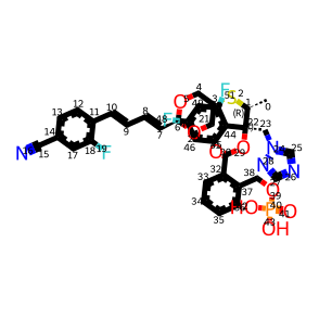 C[C@@H](S[C@H]1CO[C@H](C=CC=Cc2ccc(C#N)cc2F)OC1)[C@@](Cn1cncn1)(OC(=O)c1ccccc1COP(=O)(O)O)c1ccc(F)cc1F